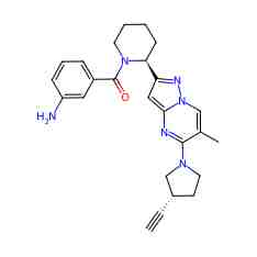 C#C[C@H]1CCN(c2nc3cc([C@@H]4CCCCN4C(=O)c4cccc(N)c4)nn3cc2C)C1